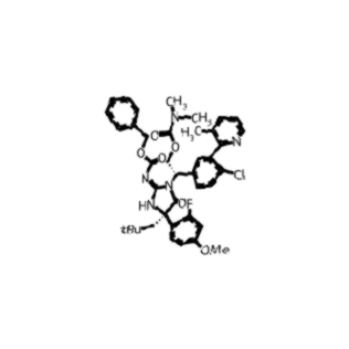 COc1ccc([C@@]2(CC(C)(C)C)N/C(=N/C(=O)OCc3ccccc3)N([C@H](COC(=O)N(C)C)c3ccc(Cl)c(-c4ncccc4C)c3)C2=O)c(F)c1